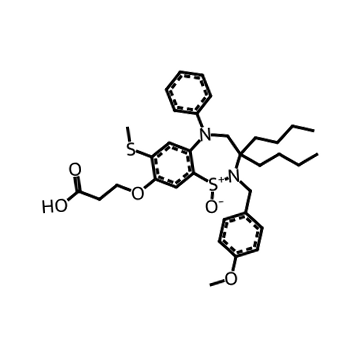 CCCCC1(CCCC)CN(c2ccccc2)c2cc(SC)c(OCCC(=O)O)cc2[S+]([O-])N1Cc1ccc(OC)cc1